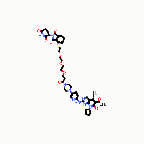 CC(=O)c1c(C)c2cnc(Nc3ccc(N4CCN(C(=O)CCOCCOCCOCCSc5cccc6c5C(=O)N(C5CCC(=O)NC5=O)C6=O)CC4)cn3)nc2n(C2CCCC2)c1=O